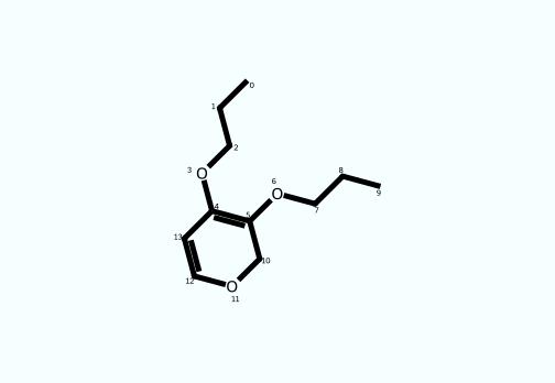 CCCOC1=C(OCCC)COC=C1